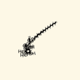 CCCCCCCCCCCCCCCCCCOC[C@H](COP(=O)(O)OC1[C@H](O)CC(O)[C@H](O)[C@@H]1O)OC